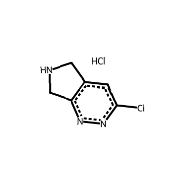 Cl.Clc1cc2c(nn1)CNC2